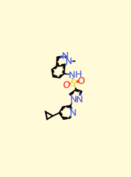 Cn1ncc2cccc(NS(=O)(=O)c3cnn(-c4cc(C5CC5)ccn4)c3)c21